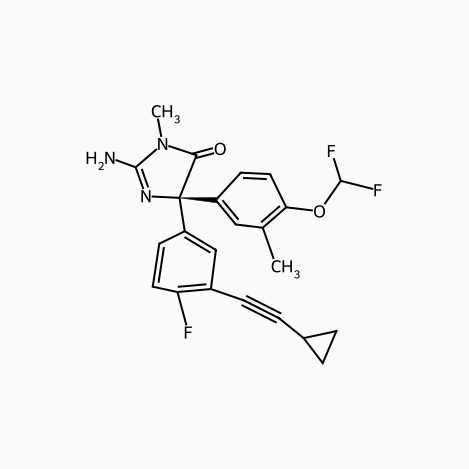 Cc1cc([C@@]2(c3ccc(F)c(C#CC4CC4)c3)N=C(N)N(C)C2=O)ccc1OC(F)F